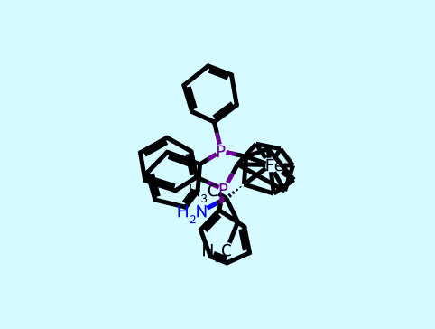 CCC(C)(N)[C@]12[CH]3[CH]4[CH]5[C]1(P(c1ccccc1)c1ccccc1)[Fe]45321678[CH]2[CH]1[CH]6[C]7(P(c1ccccc1)c1ccccc1)[CH]28